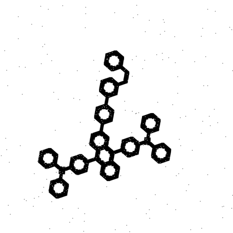 C(=C/c1cccc(-c2ccc(-c3ccc4c(-c5ccc(N(c6ccccc6)c6ccccc6)cc5)c5ccccc5c(-c5ccc(N(c6ccccc6)c6ccccc6)cc5)c4c3)cc2)c1)/c1ccccc1